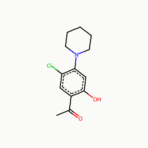 CC(=O)c1cc(Cl)c(N2CCCCC2)cc1O